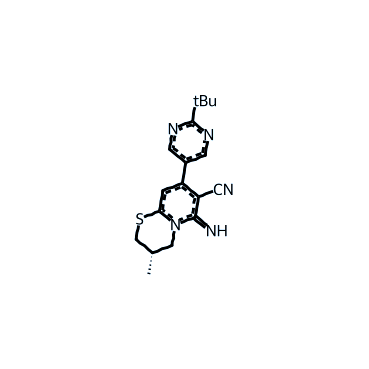 C[C@@H]1CSc2cc(-c3cnc(C(C)(C)C)nc3)c(C#N)c(=N)n2C1